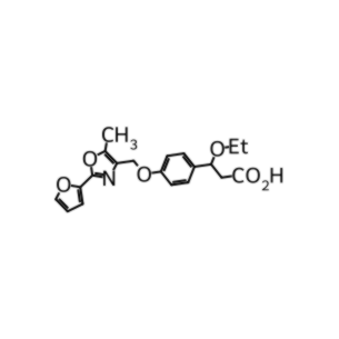 CCOC(CC(=O)O)c1ccc(OCc2nc(-c3ccco3)oc2C)cc1